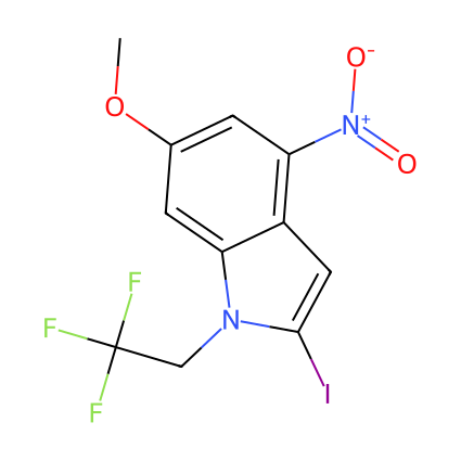 COc1cc([N+](=O)[O-])c2cc(I)n(CC(F)(F)F)c2c1